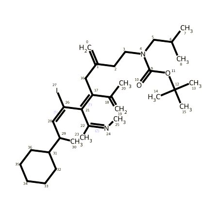 C=C(CCN(CC(C)C)C(=O)OC(C)(C)C)C/C(C(=C)C)=C(C(/C)=N\C)\C(I)=C/C(C)C1CCCCC1